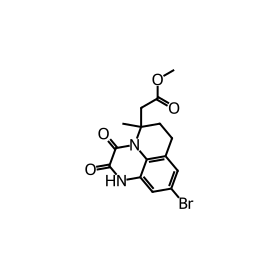 COC(=O)CC1(C)CCc2cc(Br)cc3[nH]c(=O)c(=O)n1c23